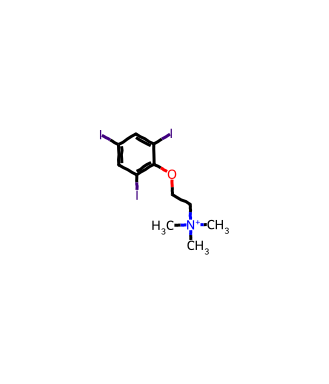 C[N+](C)(C)CCOc1c(I)cc(I)cc1I